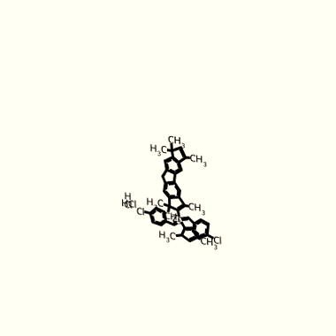 CC1=CC(C)[C]([Zr](=[CH]c2ccc(Cl)cc2)(=[CH]c2ccc(Cl)cc2)[C]2=C(C)c3cc4c(cc3C2(C)C)Cc2cc3c(cc2-4)C(C)=CC3(C)C)=C1.Cl.Cl